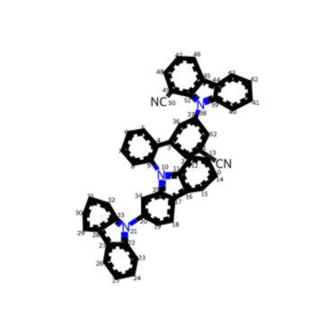 N#Cc1cc(-c2ccccc2-n2c3ccccc3c3ccc(-n4c5ccccc5c5ccccc54)cc32)cc(-n2c3ccccc3c3cccc(C#N)c32)c1